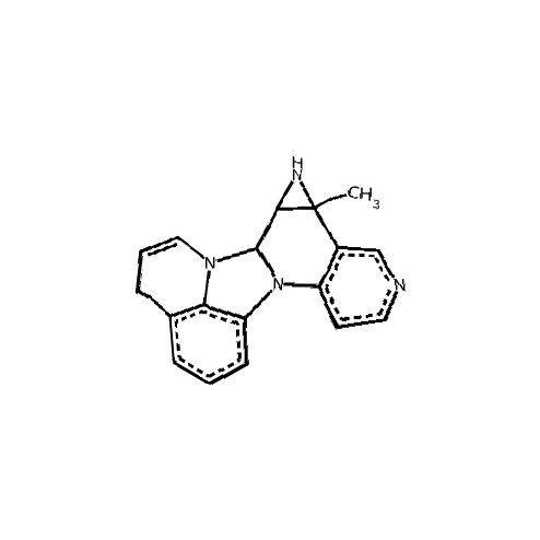 CC12NC1C1N3C=CCc4cccc(c43)N1c1ccncc12